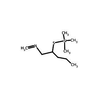 C=NCC(CCC)S[Si](C)(C)C